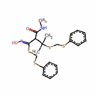 CNC(=O)C(/C(=N/O)SCSc1ccccc1)C(C)(C)SCSc1ccccc1